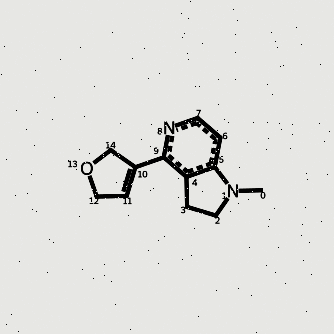 CN1CCc2c1ccnc2C1=CCOC1